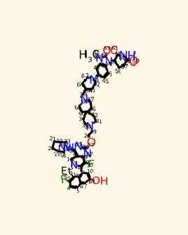 CCc1c(F)ccc2cc(O)cc(-c3ncc4c(N5CC6CCC(C5)N6)nc(OCCN5CCC6(CC5)CCN(CC5CCN(c7ccc8c(c7)n(C)c(=O)n8C7CCC(=O)NC7=O)CC5)CC6)nc4c3F)c12